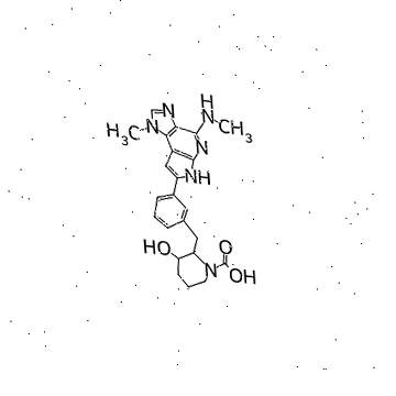 CNc1nc2[nH]c(-c3cccc(CC4C(O)CCCN4C(=O)O)c3)cc2c2c1ncn2C